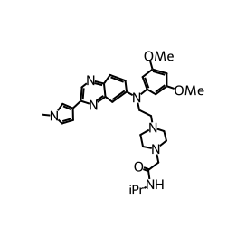 COc1cc(OC)cc(N(CCN2CCN(CC(=O)NC(C)C)CC2)c2ccc3ncc(-c4ccn(C)c4)nc3c2)c1